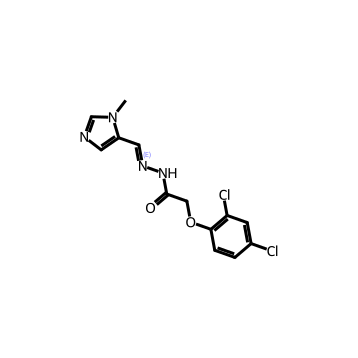 Cn1cncc1/C=N/NC(=O)COc1ccc(Cl)cc1Cl